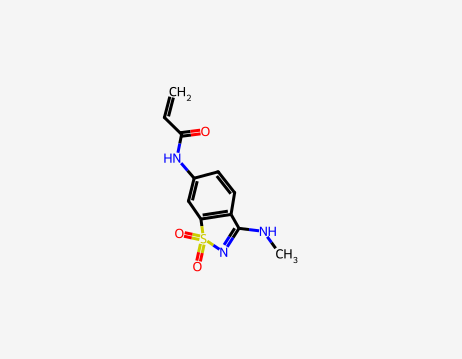 C=CC(=O)Nc1ccc2c(c1)S(=O)(=O)N=C2NC